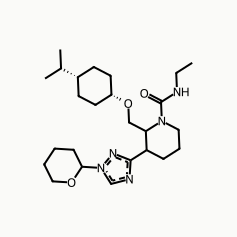 CCNC(=O)N1CCCC(c2ncn(C3CCCCO3)n2)C1CO[C@H]1CC[C@@H](C(C)C)CC1